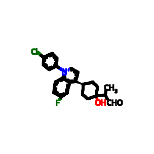 CC(C=O)[C@]1(O)CC[C@H](c2cc[n+](-c3ccc(Cl)cc3)c3ccc(F)cc32)CC1